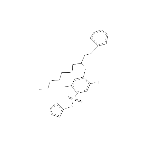 CCOCCOCC(CCc1ccccc1)Oc1cc(F)c(S(=O)(=O)Nc2cscn2)cc1Cl